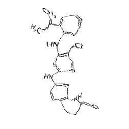 CP(C)c1ccccc1Nc1nc(Nc2ccc3c(c2)NC(=O)CC3)ncc1Cl